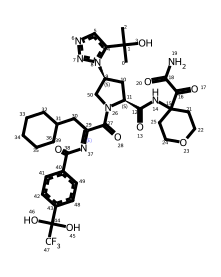 CC(C)(O)c1cnnn1[C@H]1C[C@@H](C(=O)NC2(C(=O)C(N)=O)CCOCC2)N(C(=O)/C(CC2CCCCC2)=N/C(=O)c2ccc(C(O)(O)C(F)(F)F)cc2)C1